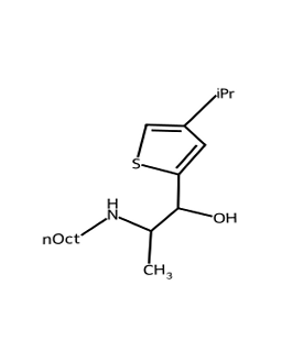 CCCCCCCCNC(C)C(O)c1cc(C(C)C)cs1